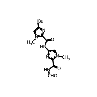 CCC(C)c1cn(C)c(C(=O)Nc2cn(C)c(C(=O)NC=O)n2)n1